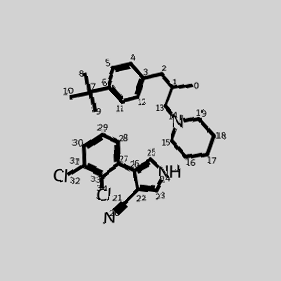 CC(Cc1ccc(C(C)(C)C)cc1)CN1CCCCC1.N#Cc1c[nH]cc1-c1cccc(Cl)c1Cl